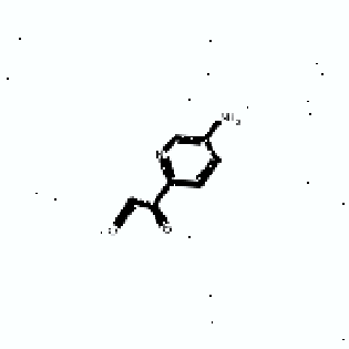 Nc1ccc(C(=O)C=O)nc1